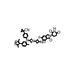 Cc1ccc(-c2c(C)noc2C)cc1N(c1ccc(C2(C#N)CC2)cc1)C1CN(C2CC(Nc3cc4c(cc3F)CN([C@H]3CCC(=O)NC3=O)C4=O)C2)C1